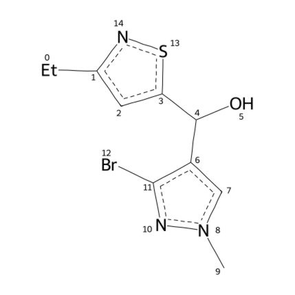 CCc1cc(C(O)c2cn(C)nc2Br)sn1